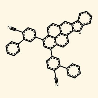 N#Cc1ccc(-c2cc(-c3ccc(C#N)c(-c4ccccc4)c3)c3ccc4c5sc6ccccc6c5cc5ccc2c3c54)cc1-c1ccccc1